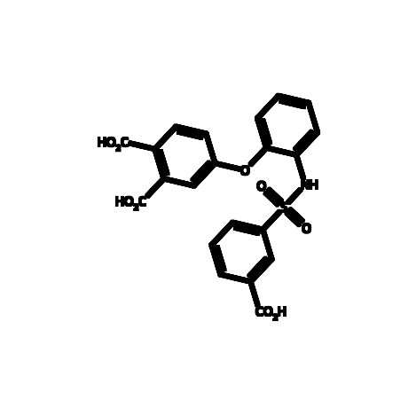 O=C(O)c1cccc(S(=O)(=O)Nc2ccccc2Oc2ccc(C(=O)O)c(C(=O)O)c2)c1